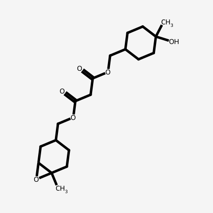 CC1(O)CCC(COC(=O)CC(=O)OCC2CCC3(C)OC3C2)CC1